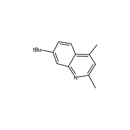 Cc1cc(C)c2ccc(C(C)(C)C)cc2n1